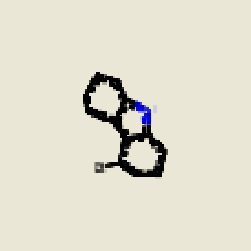 [CH2]Cc1cccc2[nH]c3ccccc3c12